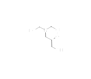 CCN(CC)C[C@@H](O)CO